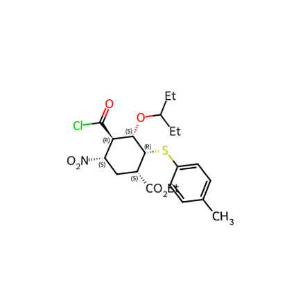 CCOC(=O)[C@@H]1C[C@H]([N+](=O)[O-])[C@@H](C(=O)Cl)[C@H](OC(CC)CC)[C@@H]1Sc1ccc(C)cc1